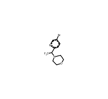 FC(F)(F)C(c1ccc(Br)cn1)N1CCOCC1